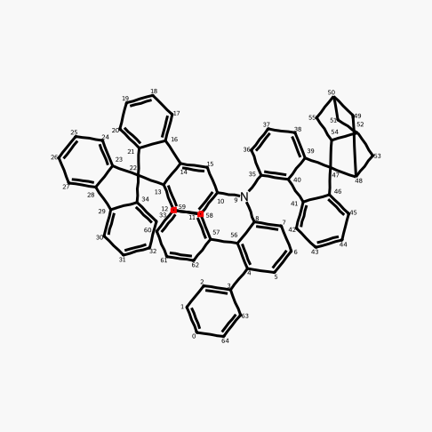 c1ccc(-c2cccc(N(c3ccc4c(c3)-c3ccccc3C43c4ccccc4-c4ccccc43)c3cccc4c3-c3ccccc3C43C4CC5CC(C4)C3C5)c2-c2ccccc2)cc1